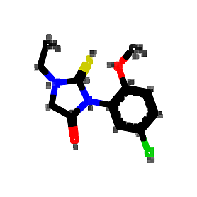 CCN1CC(=O)N(c2cc(Cl)ccc2OC)C1=S